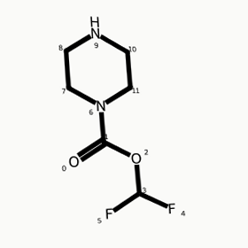 O=C(OC(F)F)N1CCNCC1